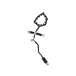 N#CCCNS(=O)(=O)c1cc[c]cc1